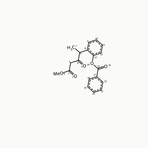 COC(=O)CC(=O)C(C)c1ccccc1OC(=O)c1ccccc1